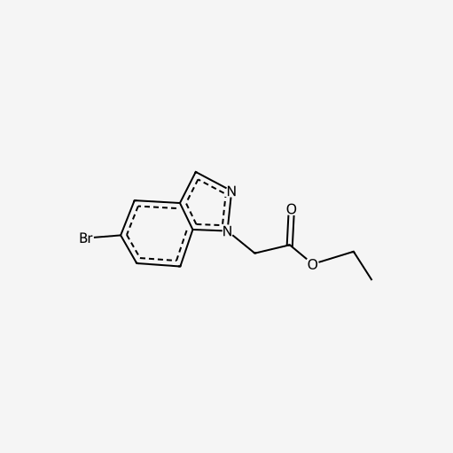 CCOC(=O)Cn1ncc2cc(Br)ccc21